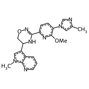 COc1nc(C2=NOCC(c3cn(C)c4ncccc34)N2)ccc1-n1cnc(C)c1